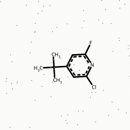 CC(C)(C)c1cc(F)nc(Cl)c1